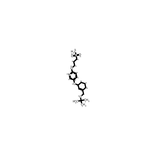 CC(C)(C)OCC1=CC(Oc2ccc(OCCCS(C)(=O)=O)nc2)CCC1